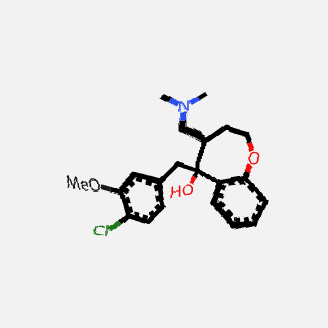 COc1cc(CC2(O)c3ccccc3OCCC2CN(C)C)ccc1Cl